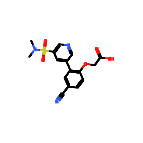 CN(C)S(=O)(=O)c1cncc(-c2cc(C#N)ccc2OCC(=O)O)c1